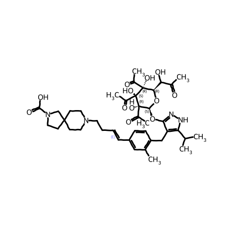 CC(=O)C(O)[C@H]1O[C@@H](Oc2n[nH]c(C(C)C)c2Cc2ccc(/C=C/CCN3CCC4(CC3)CCN(C(=O)O)C4)cc2C)[C@@](O)(C(C)=O)[C@](O)(C(C)=O)[C@@]1(O)C(C)=O